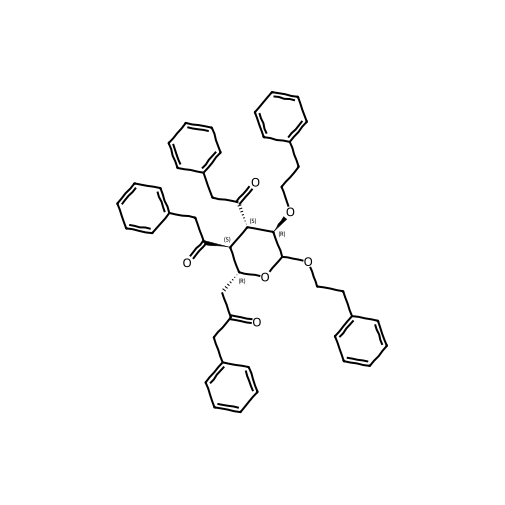 O=C(Cc1ccccc1)C[C@H]1OC(OCCc2ccccc2)[C@H](OCCc2ccccc2)[C@@H](C(=O)Cc2ccccc2)[C@@H]1C(=O)Cc1ccccc1